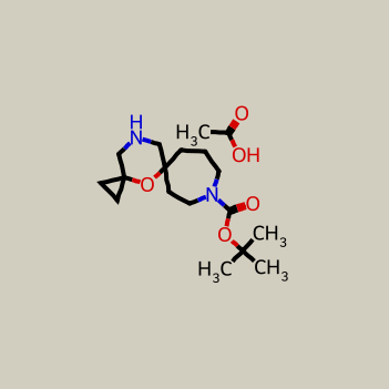 CC(=O)O.CC(C)(C)OC(=O)N1CCCC2(CC1)CNCC1(CC1)O2